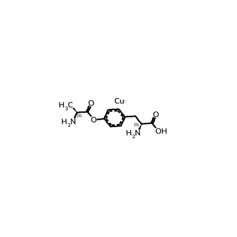 C[C@H](N)C(=O)Oc1ccc(C[C@H](N)C(=O)O)cc1.[Cu]